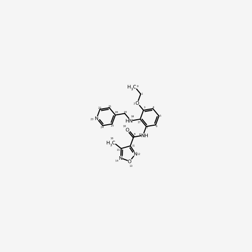 CCOc1cccc(NC(=O)c2nonc2C)c1NCc1ccncc1